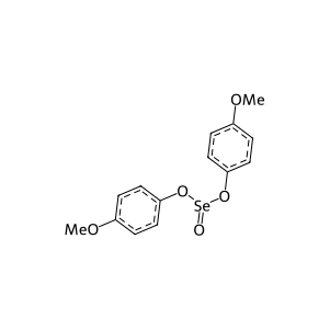 COc1ccc(O[Se](=O)Oc2ccc(OC)cc2)cc1